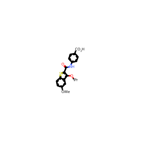 COc1ccc2sc(C(=O)Nc3ccc(C(=O)O)cc3)c(OC(C)C)c2c1